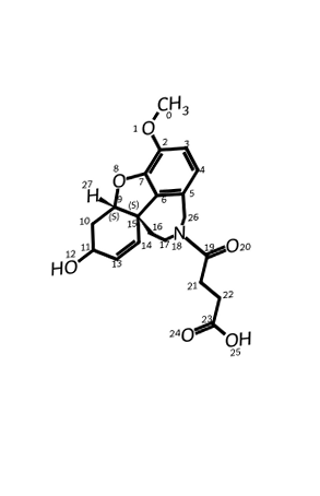 COc1ccc2c3c1O[C@H]1CC(O)C=C[C@@]31CCN(C(=O)CCC(=O)O)C2